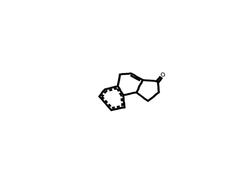 O=C1CCC2C1=CCc1ccccc12